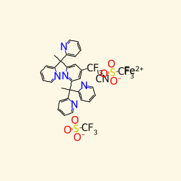 CC#N.CC(c1ccccn1)(c1ccccn1)c1cc(C(F)(F)F)cc(C(C)(c2ccccn2)c2ccccn2)n1.O=S(=O)([O-])C(F)(F)F.O=S(=O)([O-])C(F)(F)F.[Fe+2]